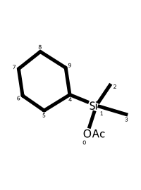 CC(=O)O[Si](C)(C)C1CCCCC1